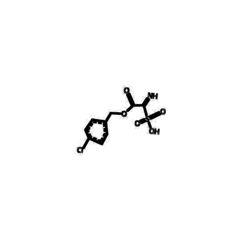 N=C(C(=O)OCc1ccc(Cl)cc1)S(=O)(=O)O